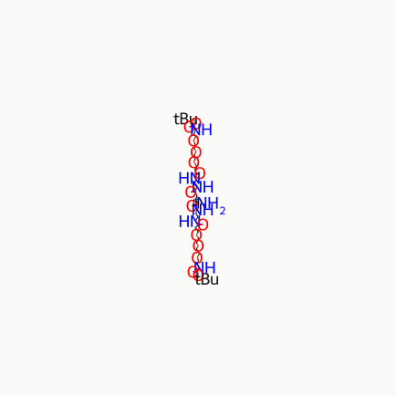 CC(C)(C)OC(=O)NCCOCCOCCOCCC(=O)NCCNC(=O)CC[C@H](N)C(=O)NCCNC(=O)CCOCCOCCOCCNC(=O)OC(C)(C)C